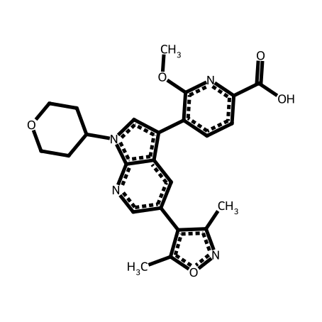 COc1nc(C(=O)O)ccc1-c1cn(C2CCOCC2)c2ncc(-c3c(C)noc3C)cc12